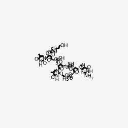 CCOP(=O)(S)OC[C@H]1O[C@@H](n2cnc3c(=O)[nH]c(N)nc32)CC1OP(=O)(S)OC[C@H]1O[C@@H](n2cc(C)c(=O)[nH]c2=O)CC1OP(=S)(S)OC[C@H]1O[C@@H](n2cc(C)c(=O)[nH]c2=O)C(OC)C1OP(=O)(S)OCCCO